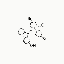 O=C1c2cc(Br)ccc2-c2ccc(Br)cc21.O=C1c2ccccc2-c2ccc(O)cc21